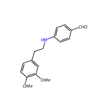 COc1ccc(CCNc2ccc(C=O)cc2)cc1OC